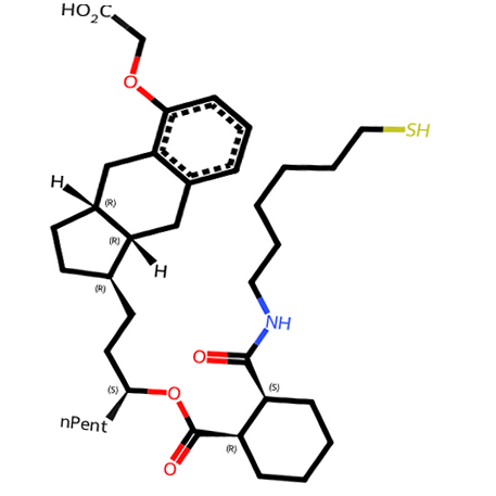 CCCCC[C@@H](CC[C@H]1CC[C@@H]2Cc3c(cccc3OCC(=O)O)C[C@H]12)OC(=O)[C@@H]1CCCC[C@@H]1C(=O)NCCCCCCS